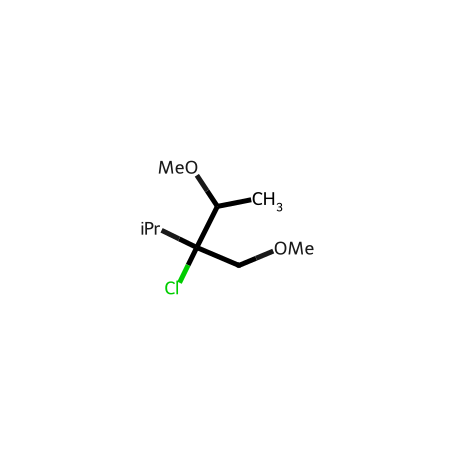 COCC(Cl)(C(C)C)C(C)OC